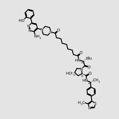 Cc1ncsc1-c1ccc([C@@H](C)NC(=O)[C@H]2C[C@H](O)CN2C(=O)[C@H](NC(=O)CCCCCCCC(=O)N2CCN(c3cc(-c4ccccc4O)nnc3N)CC2)C(C)(C)C)cc1